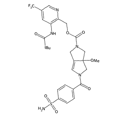 COC12CN(C(=O)c3ccc(S(N)(=O)=O)cc3)C=C1CN(C(=O)OCc1ncc(C(F)(F)F)cc1NC(=O)C(C)(C)C)C2